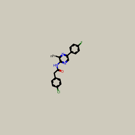 CCCc1nc(-c2ccc(F)cc2)cnc1NC(=O)Cc1ccc(Cl)cc1